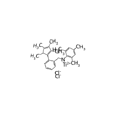 CC1=C(C)C(C)C(c2ccccc2C[N]([Ti+2])c2c(C)cc(C)cc2C)=C1C.[Cl-].[Cl-]